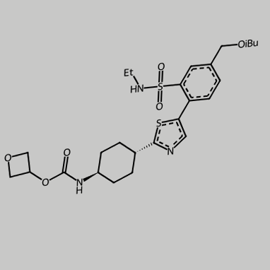 CCNS(=O)(=O)c1cc(COCC(C)C)ccc1-c1cnc([C@H]2CC[C@H](NC(=O)OC3COC3)CC2)s1